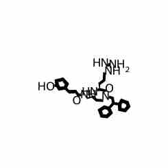 N=C(N)NCCC[C@@H]1N[C@H](CNC(=O)/C=C/c2cccc(O)c2)CCN(CC(c2ccccc2)c2ccccc2)C1=O